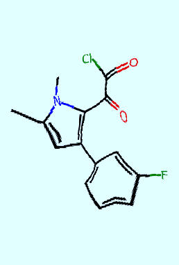 Cc1cc(-c2cccc(F)c2)c(C(=O)C(=O)Cl)n1C